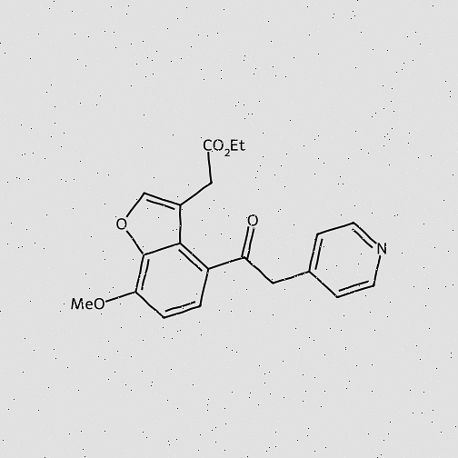 CCOC(=O)Cc1coc2c(OC)ccc(C(=O)Cc3ccncc3)c12